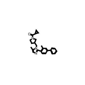 Cc1cc(-c2ccccc2)ccc1-c1ncc(C)n1CC1CCN(C(=O)C2CC2)C1